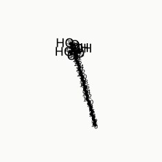 CCCCCCCCCCCCCCCCCCCCCCCCCCCCCCC(C(=O)O)C(O)(CC(=O)O)C(=O)O